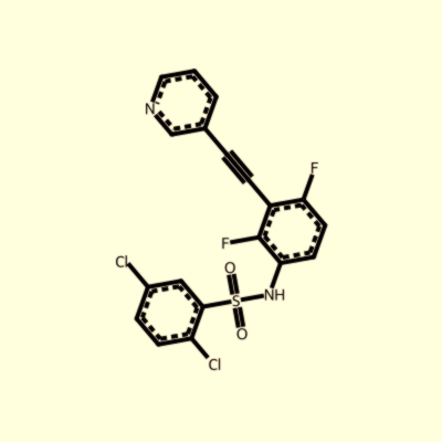 O=S(=O)(Nc1ccc(F)c(C#Cc2cccnc2)c1F)c1cc(Cl)ccc1Cl